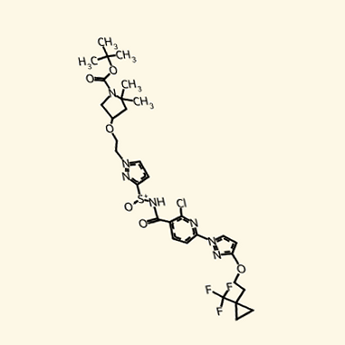 CC(C)(C)OC(=O)N1CC(OCCn2ccc([S+]([O-])NC(=O)c3ccc(-n4ccc(OCCC5(C(F)(F)F)CC5)n4)nc3Cl)n2)CC1(C)C